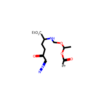 CCOC(=O)C(CCC(=O)C=[N+]=[N-])NCOC(C)OC(=O)C(C)C